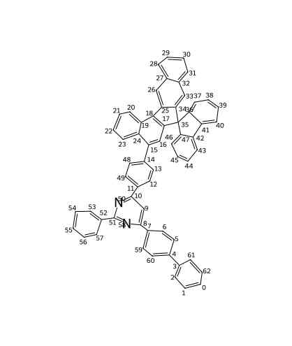 c1ccc(-c2ccc(-c3cc(-c4ccc(-c5cc6c(c7ccccc57)-c5cc7ccccc7cc5C65c6ccccc6-c6ccccc65)cc4)nc(-c4ccccc4)n3)cc2)cc1